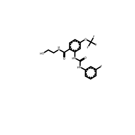 O=C(Nc1cccc(F)c1)Nc1cc(OC(F)(F)F)ccc1C(=O)NCCO